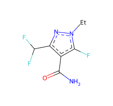 CCn1nc(C(F)F)c(C(N)=O)c1F